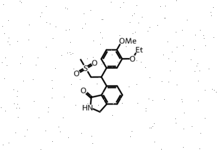 CCOc1cc(C(CS(C)(=O)=O)c2cccc3c2C(=O)NC3)ccc1OC